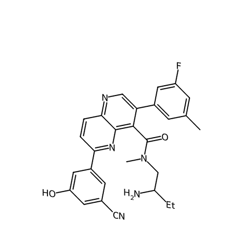 CCC(N)CN(C)C(=O)c1c(-c2cc(C)cc(F)c2)cnc2ccc(-c3cc(O)cc(C#N)c3)nc12